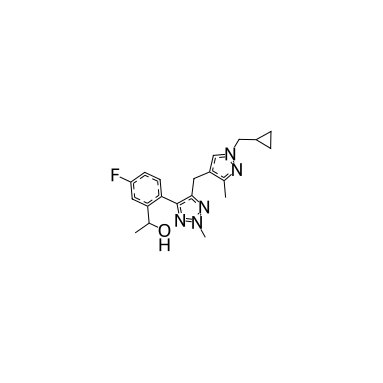 Cc1nn(CC2CC2)cc1Cc1nn(C)nc1-c1ccc(F)cc1C(C)O